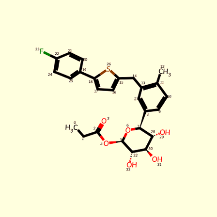 CCC(=O)O[C@H]1O[C@@H](c2ccc(C)c(Cc3ccc(-c4ccc(F)cc4)s3)c2)[C@H](O)[C@@H](O)[C@@H]1O